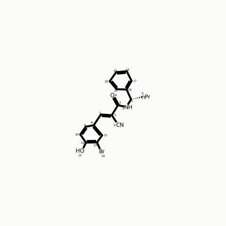 CCC[C@H](NC(=O)/C(C#N)=C/c1ccc(O)c(Br)c1)c1ccccc1